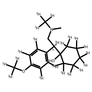 [2H]c1c([2H])c([C@@]([2H])(CN(C)C([2H])([2H])[2H])C2(O)C([2H])([2H])C([2H])([2H])C([2H])([2H])C([2H])([2H])C2([2H])[2H])c([2H])c([2H])c1OC([2H])([2H])[2H]